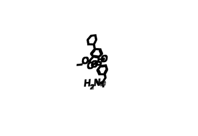 CCOC(=O)c1cc(C2CCCCC2)ccc1S(=O)(=O)c1ccc(C[C@@H](C)N)cc1